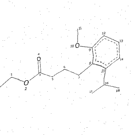 CCOC(=O)CCCc1c(OC)cccc1C(C)C